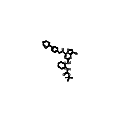 CC(C)(C)OC(=O)N[C@H]1CCCC[C@@H]1Nc1nc(NCc2ccc(-c3ccccn3)cc2)n2ncc(Br)c2n1